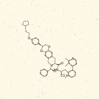 CC[C@@H](c1ccccc1)N1Cc2cc3c(cc2C[C@H]1C(=O)N[C@@H](Cc1ccccc1-c1ccnc(C)c1C)C(=O)O)OC[C@H](c1ccc(OCCC2CCCC2)cc1)O3